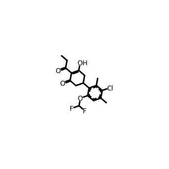 CCC(=O)C1=C(O)CC(c2c(OC(F)F)cc(C)c(Cl)c2C)CC1=O